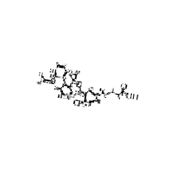 O=C(O)CCCSc1ccc(Cl)c(COC2(c3cnccc3-c3ccccc3OC3CC3)CC2)c1